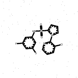 O=S(=O)(Nc1cc(F)cc(F)c1)c1cccn1-c1ncccc1Cl